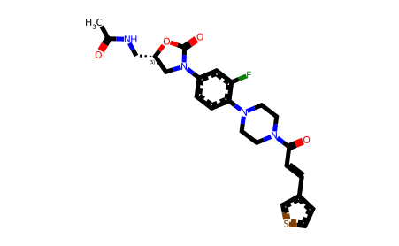 CC(=O)NC[C@H]1CN(c2ccc(N3CCN(C(=O)C=Cc4ccsc4)CC3)c(F)c2)C(=O)O1